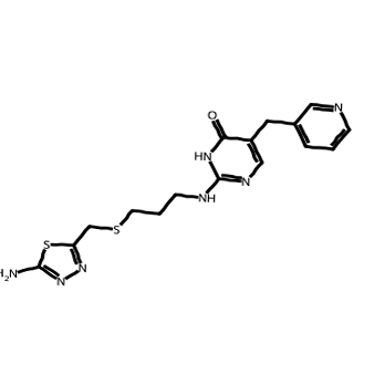 Nc1nnc(CSCCCNc2ncc(Cc3cccnc3)c(=O)[nH]2)s1